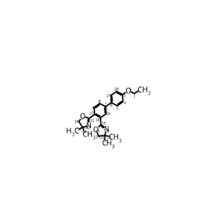 CCOc1ccc(-c2ccc(C3=NC(C)(C)CO3)c(C3=NC(C)(C)CO3)c2)cc1